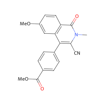 COC(=O)c1ccc(-c2c(C#N)n(C)c(=O)c3ccc(OC)cc23)cc1